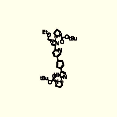 CCOCn1cc(-c2ccc(-c3ccc(-c4cnc([C@@H]5CCCN5C(=O)OC(C)(C)C)[nH]4)cc3)cn2)nc1[C@@H]1CCCN1C(=O)OC(C)(C)C